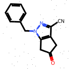 N#Cc1nn(Cc2ccccc2)c2c1CC(=O)C2